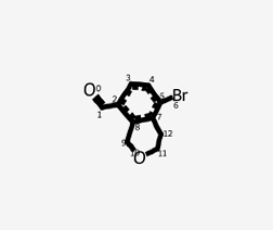 O=Cc1ccc(Br)c2c1COCC2